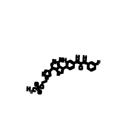 CS(=O)(=O)OCCn1cc(-c2cnc(N)c3c(-c4ccc(NC(=O)Nc5cccc(F)c5)cc4)csc23)cn1